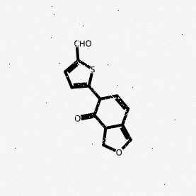 O=Cc1ccc(C2C=CC3=COCC3C2=O)s1